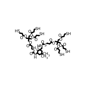 CC1(C)CC(NC(=O)SCCC(=O)OCC(COC(=O)CCS)(COC(=O)CCS)COC(=O)CCS)CC(C)(CNC(=O)SCCC(=O)OCC(COC(=O)CCS)(COC(=O)CCS)COC(=O)CCS)C1